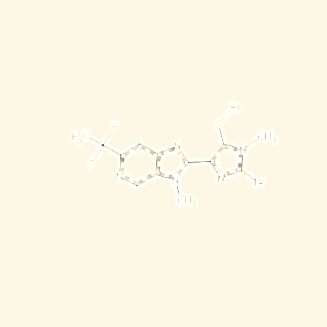 CCSc1c(-c2nc3cc(C(F)(F)C(F)(F)F)ncc3n2C)nc(Br)n1C